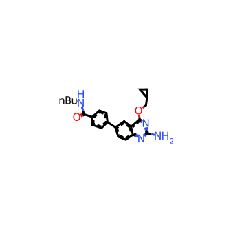 CCCCNC(=O)c1ccc(-c2ccc3nc(N)nc(OCC4CC4)c3c2)cc1